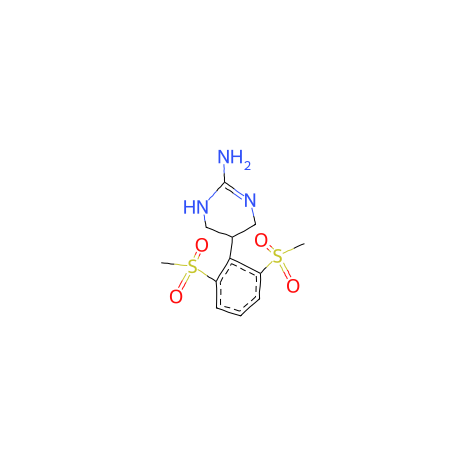 CS(=O)(=O)c1cccc(S(C)(=O)=O)c1C1CN=C(N)NC1